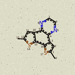 Cc1cc2c3nccnc3c3cc(C)sc3c2s1